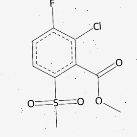 COC(=O)c1c(S(C)(=O)=O)ccc(F)c1Cl